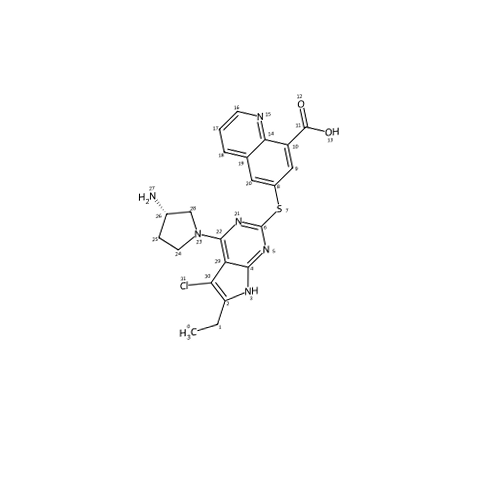 CCc1[nH]c2nc(Sc3cc(C(=O)O)c4ncccc4c3)nc(N3CC[C@H](N)C3)c2c1Cl